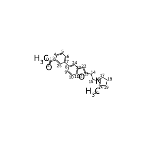 CC(=O)c1cccc(-c2ccc3oc(CCN4CCC[C@H]4C)cc3c2)c1